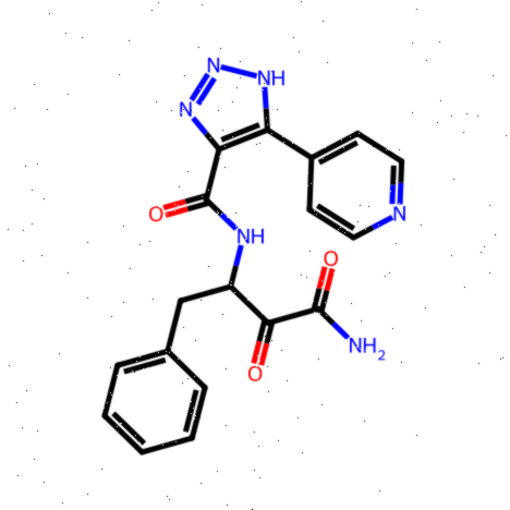 NC(=O)C(=O)C(Cc1ccccc1)NC(=O)c1nn[nH]c1-c1ccncc1